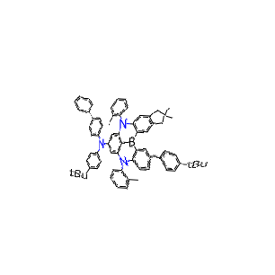 Cc1ccccc1N1c2ccc(-c3ccc(C(C)(C)C)cc3)cc2B2c3cc4c(cc3N(c3ccccc3C)c3cc(N(c5ccc(-c6ccccc6)cc5)c5ccc(C(C)(C)C)cc5)cc1c32)CC(C)(C)C4